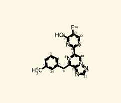 Cc1cccc(Cc2nc(-c3ncc(F)c(O)n3)cn3ncnc23)c1